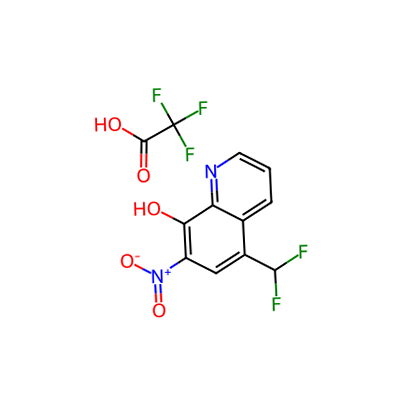 O=C(O)C(F)(F)F.O=[N+]([O-])c1cc(C(F)F)c2cccnc2c1O